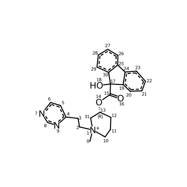 C[N+]1(CCc2ccncn2)CCC[C@@H](OC(=O)C2(O)c3ccccc3-c3ccccc32)C1